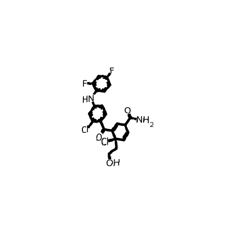 NC(=O)C1C=CC(Cl)(CCO)C(C(=O)c2ccc(Nc3ccc(F)cc3F)cc2Cl)=C1